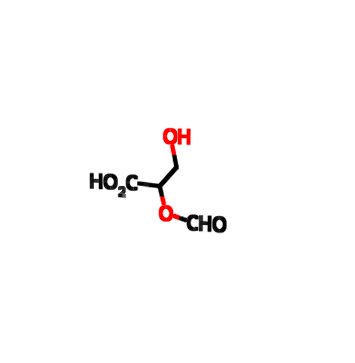 O=COC(CO)C(=O)O